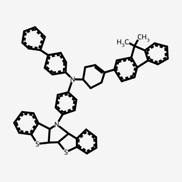 CC1(C)c2ccccc2-c2ccc(C3=CCC(N(c4ccc(-c5ccccc5)cc4)c4ccc(N5C6c7ccccc7SC6C6Sc7ccccc7C65)cc4)CC3)cc21